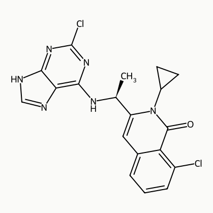 C[C@H](Nc1nc(Cl)nc2[nH]cnc12)c1cc2cccc(Cl)c2c(=O)n1C1CC1